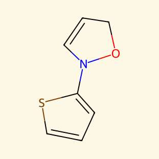 C1=CN(c2cccs2)OC1